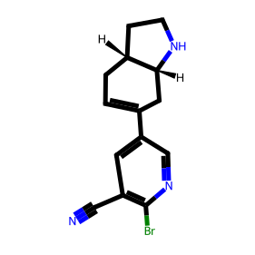 N#Cc1cc(C2=CC[C@@H]3CCN[C@@H]3C2)cnc1Br